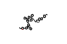 C=Cc1ccc(-c2ccc3cc(OCC(C)CCCCC4(c5ccccc5)c5ccccc5-c5ccc(N(c6ccccc6)c6ccc(-c7ccc8c(c7)c7cc(-c9ccc(C=C)cc9)ccc7n8-c7ccccc7)cc6)cc54)ccc3c2)cc1